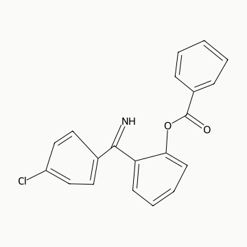 N=C(c1ccc(Cl)cc1)c1ccccc1OC(=O)c1ccccc1